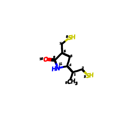 CC(CS)C1CC(CS)C(=O)N1